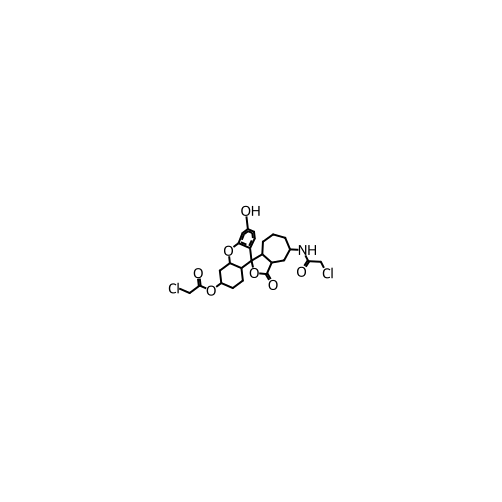 O=C(CCl)NC1CCCC2C(C1)C(=O)OC21c2ccc(O)cc2OC2CC(OC(=O)CCl)CCC21